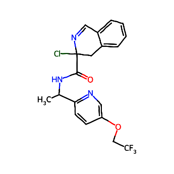 CC(NC(=O)C1(Cl)Cc2ccccc2C=N1)c1ccc(OCC(F)(F)F)cn1